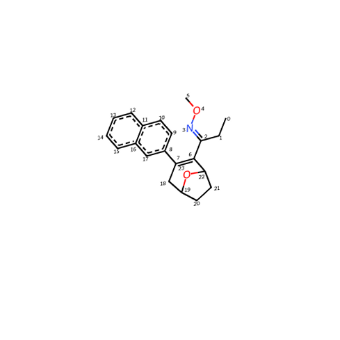 CCC(=NOC)C1=C(c2ccc3ccccc3c2)CC2CCC1O2